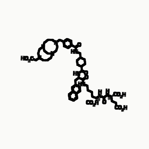 O=C(O)CC[C@H](NC(=O)N[C@@H](CCCCNC(=O)C(Cc1ccc2ccccc2c1)NC(=O)C1CCC(CNC(=O)c2ccc(CN3CCCN4CCN(CCCN(CC(=O)O)CC4)CC3)cc2)CC1)C(=O)O)C(=O)O